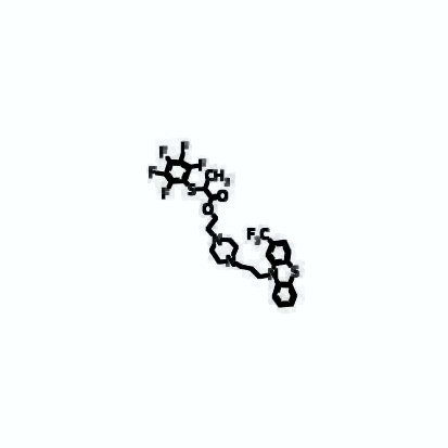 CC(Sc1c(F)c(F)c(F)c(F)c1F)C(=O)OCCN1CCN(CCCN2c3ccccc3Sc3ccc(C(F)(F)F)cc32)CC1